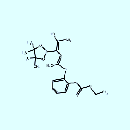 CCOC(=O)Cc1ccccc1O/C(C)=C/C(B1OC(C)(C)C(C)(C)O1)=C(\C)O